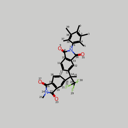 Cc1c(C)c(C)c(N2C(=O)c3ccc(C(C)(c4ccc5c(c4)C(=O)N(C)C5=O)C(F)(F)F)cc3C2=O)c(C)c1C